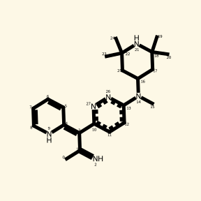 CC(=N)/C(=C1/C=CC=CN1)c1ccc(N(C)C2CC(C)(C)NC(C)(C)C2)nn1